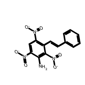 Nc1c([N+](=O)[O-])cc([N+](=O)[O-])c(C=Cc2ccccc2)c1[N+](=O)[O-]